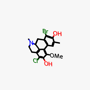 COc1c(O)c(Cl)c2c3c1-c1cc(C)c(O)c(Br)c1CC3N(C)CC2